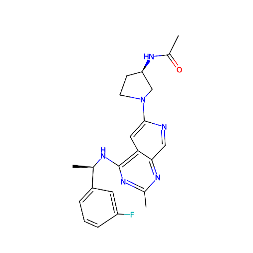 CC(=O)N[C@@H]1CCN(c2cc3c(N[C@H](C)c4cccc(F)c4)nc(C)nc3cn2)C1